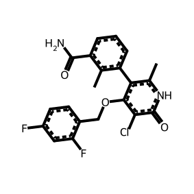 Cc1[nH]c(=O)c(Cl)c(OCc2ccc(F)cc2F)c1-c1cccc(C(N)=O)c1C